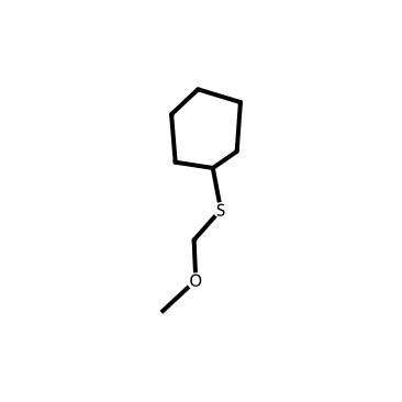 COCSC1CCCCC1